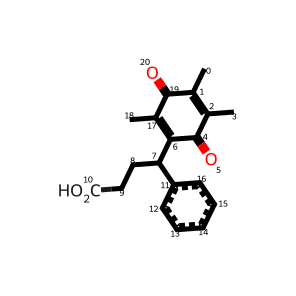 CC1=C(C)C(=O)C(C(CCC(=O)O)c2ccccc2)=C(C)C1=O